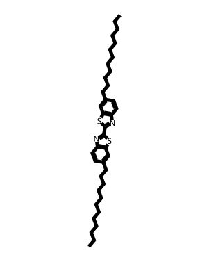 CCCCCCCCCCCCc1ccc2nc(-c3nc4ccc(CCCCCCCCCCCC)cc4s3)sc2c1